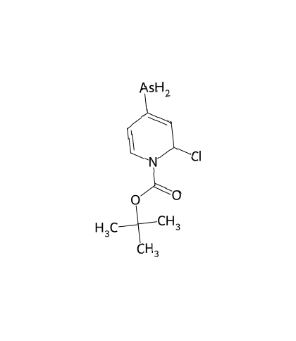 CC(C)(C)OC(=O)N1C=CC([AsH2])=CC1Cl